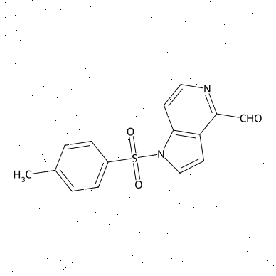 Cc1ccc(S(=O)(=O)n2ccc3c(C=O)nccc32)cc1